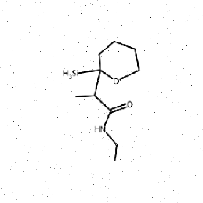 CCNC(=O)C(C)C1([SiH3])CCCCO1